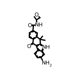 CC1(C)c2cc(C(=O)NC3COC3)ccc2C(=O)c2c1[nH]c1cc(N)ccc21